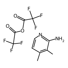 Cc1ccnc(N)c1C.O=C(OC(=O)C(F)(F)F)C(F)(F)F